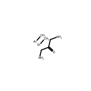 CC(C)=O.CCC.NCC(=O)CN